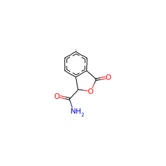 NC(=O)C1OC(=O)c2c[c]ccc21